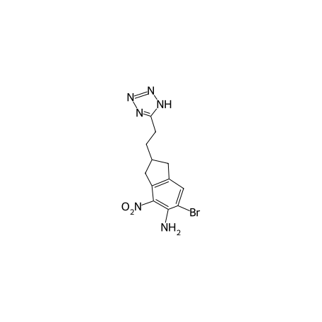 Nc1c(Br)cc2c(c1[N+](=O)[O-])CC(CCc1nnn[nH]1)C2